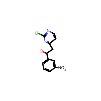 O=[N+]([O-])c1cccc(C(O)Cc2ccnc(Cl)n2)c1